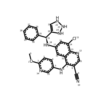 COc1ccc(Nc2c(C#N)cnc3c(Cl)cc(N[C@H](C4=CNNN4)c4ccccc4)cc23)cn1